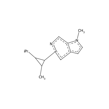 CC(C)C1C(C)C1c1cc2ccn(C)c2cn1